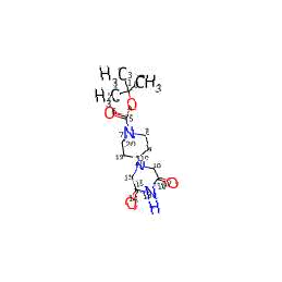 CC(C)(C)OC(=O)N1CCC(N2CC(=O)NC(=O)C2)CC1